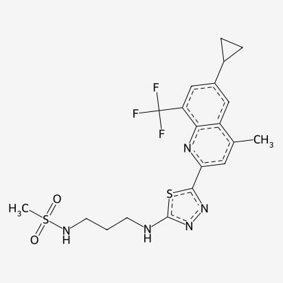 Cc1cc(-c2nnc(NCCCNS(C)(=O)=O)s2)nc2c(C(F)(F)F)cc(C3CC3)cc12